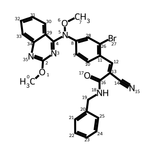 COc1nc(N(OC)c2ccc(C=C(C#N)C(=O)NCc3ccccc3)c(Br)c2)c2ccccc2n1